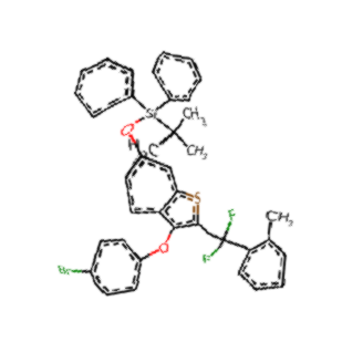 Cc1ccccc1C(F)(F)c1sc2cc(O[Si](c3ccccc3)(c3ccccc3)C(C)(C)C)ccc2c1Oc1ccc(Br)cc1